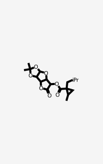 CC(C)CC1(C(=O)OC2C(=O)OC3C4OC(C)(C)OC4OC23)CC1C